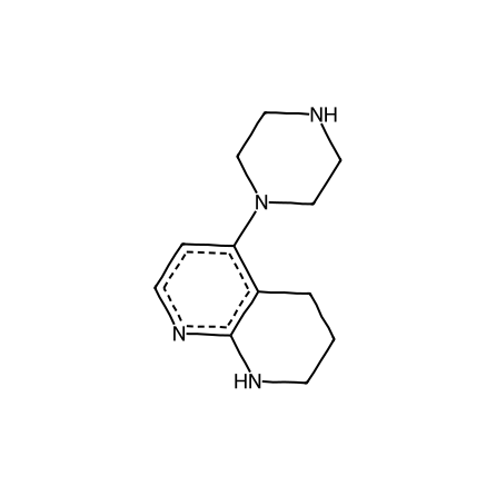 c1cc(N2CCNCC2)c2c(n1)NCCC2